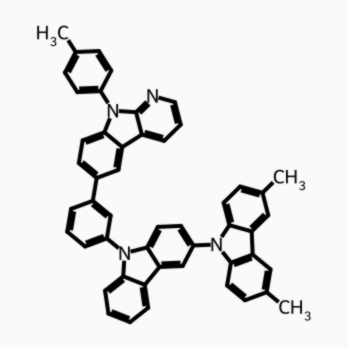 Cc1ccc(-n2c3ccc(-c4cccc(-n5c6ccccc6c6cc(-n7c8ccc(C)cc8c8cc(C)ccc87)ccc65)c4)cc3c3cccnc32)cc1